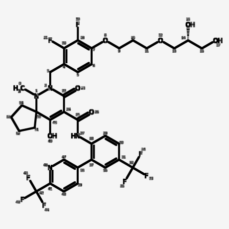 CN1N(Cc2ccc(OCCCOC[C@H](O)CO)c(F)c2F)C(=O)C(C(=O)Nc2ccc(C(F)(F)F)cc2-c2ccc(C(F)(F)F)nc2)=C(O)C12CCCC2